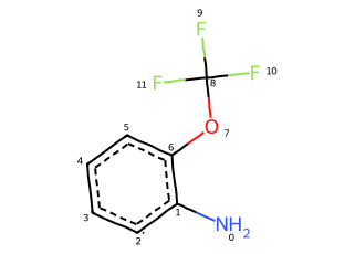 Nc1[c]cccc1OC(F)(F)F